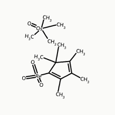 CC1=C(C)C(C)(C)[C]([Re](=[O])(=[O])=[O])=C1C.[CH3][Os]([CH3])([CH3])([CH3])=[O]